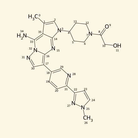 Cc1cn(C2CCN(C(=O)CO)CC2)c2nc3c(-c4ccc(-c5ccn(C)n5)nc4)cnn3c(N)c12